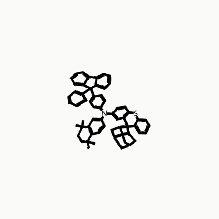 CC1(C)CCC(C)(C)c2cc(N(c3ccc(C4(c5ccccc5)c5ccccc5-c5ccccc54)cc3)c3ccc4c(c3)C3(c5ccccc5S4)C4CC5CC6CC3C64C5)ccc21